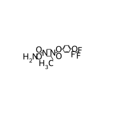 CCC1CN(C(=O)ON)CCN1C(=O)Oc1ccc(OC(F)(F)F)cc1